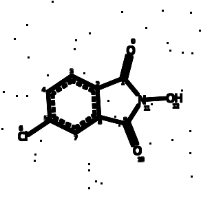 O=C1c2ccc(Cl)cc2C(=O)N1O